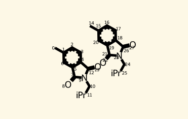 Cc1ccc2c(c1)C(=O)N(CC(C)C)C2=O.Cc1ccc2c(c1)C(=O)N(CC(C)C)C2=O